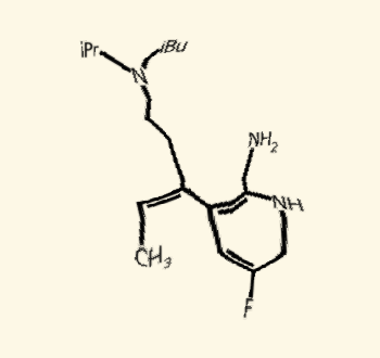 C/C=C(/CCN(C(C)C)C(C)CC)C1=C(N)NCC(F)=C1